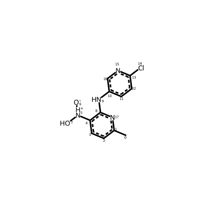 Cc1ccc([NH+]([O-])O)c(Nc2ccc(Cl)nc2)n1